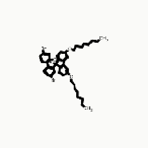 CCCCCCCCOc1ccc2c(c1)-c1cc(OCCCCCCCC)ccc1C2(O)c1cc(Br)ccc1-c1ccc(Br)cc1C